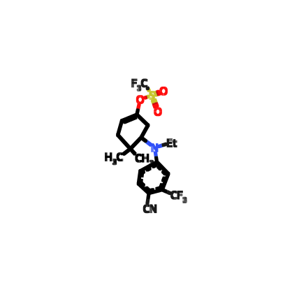 CCN(c1ccc(C#N)c(C(F)(F)F)c1)C1CC(OS(=O)(=O)C(F)(F)F)=CCC1(C)C